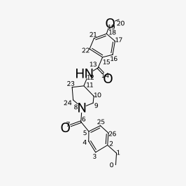 CCc1ccc(C(=O)N2CCC(NC(=O)c3ccc(OC)cc3)CC2)cc1